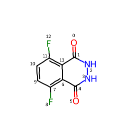 O=c1[nH][nH]c(=O)c2c(F)ccc(F)c12